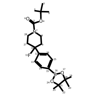 CC(C)(C)OC(=O)N1CCC(F)(c2ccc(B3OC(C)(C)C(C)(C)O3)cc2)CC1